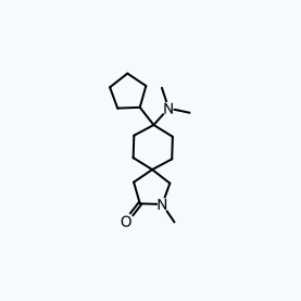 CN1CC2(CCC(C3CCCC3)(N(C)C)CC2)CC1=O